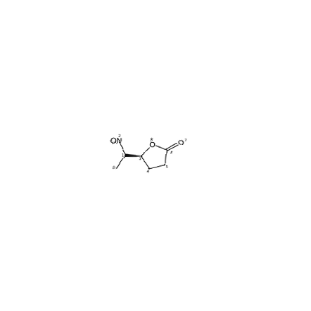 CC(N=O)[C@@H]1CCC(=O)O1